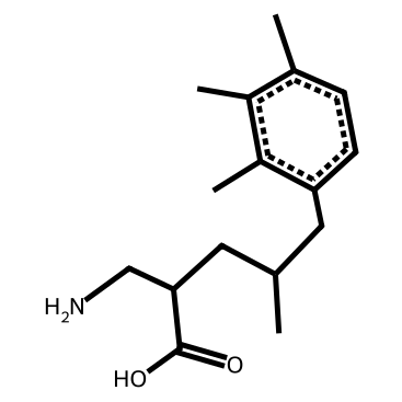 Cc1ccc(CC(C)CC(CN)C(=O)O)c(C)c1C